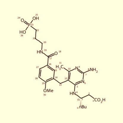 CCCC[C@@H](CC(=O)O)Nc1nc(N)nc(C)c1Cc1cc(C(=O)NCCCP(=O)(O)O)ccc1OC